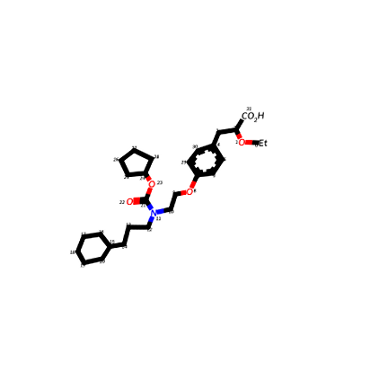 CCOC(Cc1ccc(OCCN(CCCC2CCCCC2)C(=O)OC2CCCC2)cc1)C(=O)O